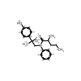 CCCC(C)C(=O)N(CC(C)(C)c1ccc(O)cc1)c1ccccc1